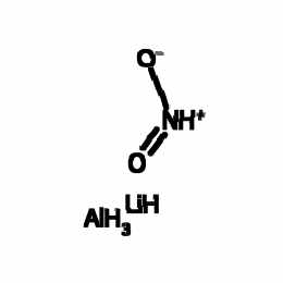 O=[NH+][O-].[AlH3].[LiH]